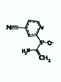 C=C(N)[S+]([O-])c1cc(C#N)ccn1